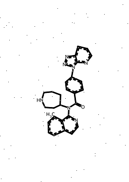 Cc1cccc2ccnc(N(C(=O)c3ccc(-n4nnc5cccnc54)cc3)C3CCCNCC3)c12